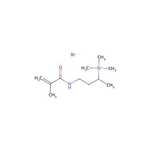 C=C(C)C(=O)NCCC(C)[N+](C)(C)C.[Br-]